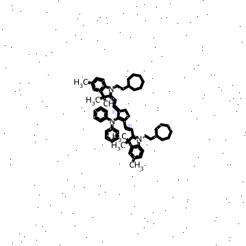 Cc1ccc2c(c1)C(C)(C)C(/C=C/C1=C(N(c3ccccc3)c3ccccc3)C(=C/C=C3/N(CCC4CCCCCC4)c4ccc(C)cc4C3(C)C)/CC1)=[N+]2CCC1CCCCCC1